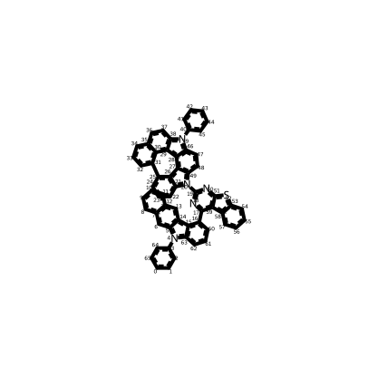 c1ccc(-n2c3cc4ccccc4cc3c3c(-c4nc(-n5c6cccc7c6c6c8c9c%10c-7cccc%10ccc9n(-c7ccccc7)c8ccc65)nc5sc6ccccc6c45)cccc32)cc1